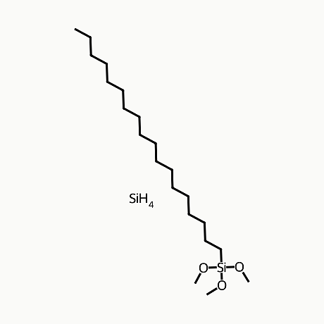 CCCCCCCCCCCCCCCCCC[Si](OC)(OC)OC.[SiH4]